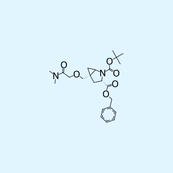 CN(C)C(=O)COC[C@]12CC1N(C(=O)OC(C)(C)C)[C@H](C(=O)OCc1ccccc1)C2